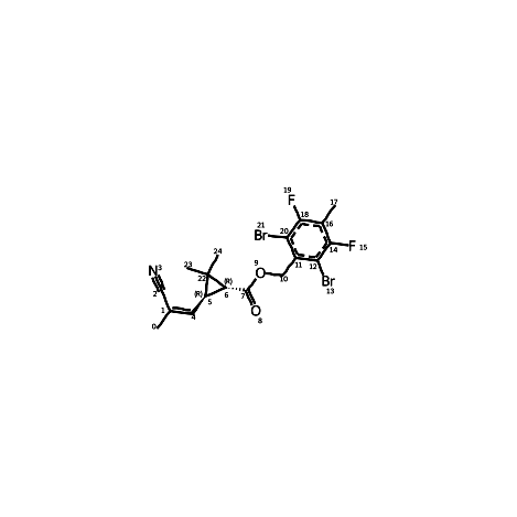 CC(C#N)=C[C@@H]1[C@@H](C(=O)OCc2c(Br)c(F)c(C)c(F)c2Br)C1(C)C